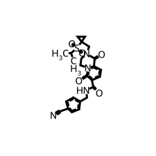 CC(C)S(=O)(=O)C1(CN2CCn3c(ccc(C(=O)NCc4ccc(C#N)cc4)c3=O)C2=O)CC1